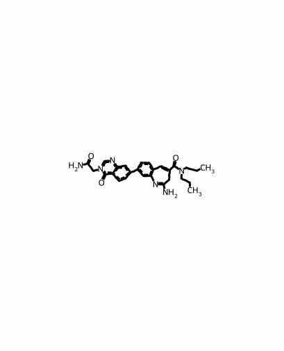 CCCN(CCC)C(=O)C1=Cc2ccc(-c3ccc4c(=O)n(CC(N)=O)cnc4c3)cc2N=C(N)C1